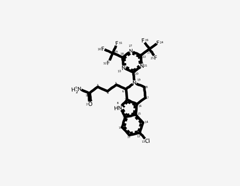 NC(=O)CCCC1c2[nH]c3ccc(Cl)cc3c2CCN1c1nc(C(F)(F)F)nc(C(F)(F)F)n1